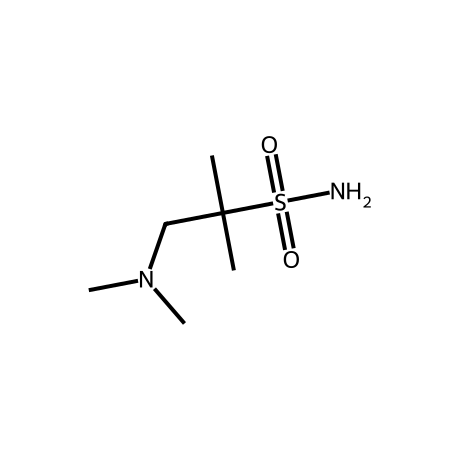 CN(C)CC(C)(C)S(N)(=O)=O